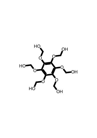 OCOc1c(OCO)c(OCO)c(OCO)c(OCO)c1OCO